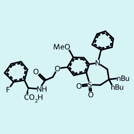 CCCCC1(CCCC)CN(c2ccccc2)c2cc(OC)c(OCC(=O)N[C@@H](C(=O)O)c3ccccc3F)cc2S(=O)(=O)C1